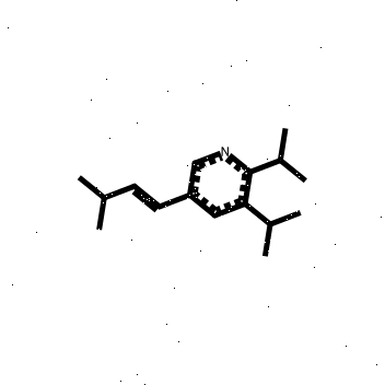 CC(C)/C=C/c1cnc(C(C)C)c(C(C)C)c1